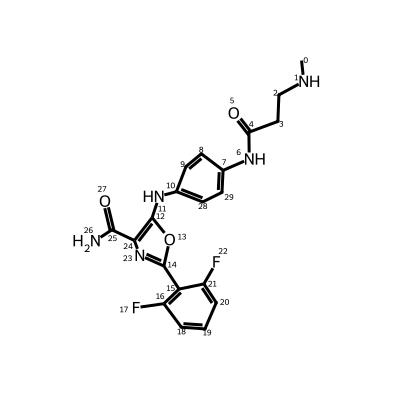 CNCCC(=O)Nc1ccc(Nc2oc(-c3c(F)cccc3F)nc2C(N)=O)cc1